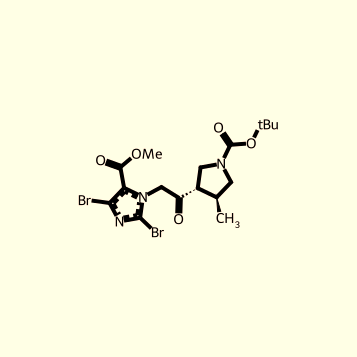 COC(=O)c1c(Br)nc(Br)n1CC(=O)[C@@H]1CN(C(=O)OC(C)(C)C)C[C@H]1C